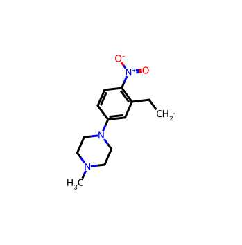 [CH2]Cc1cc(N2CCN(C)CC2)ccc1[N+](=O)[O-]